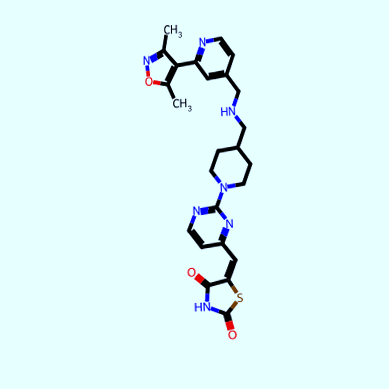 Cc1noc(C)c1-c1cc(CNCC2CCN(c3nccc(/C=C4/SC(=O)NC4=O)n3)CC2)ccn1